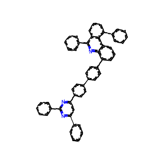 c1ccc(-c2cc(-c3ccc(-c4ccc(-c5cccc6c5nc(-c5ccccc5)c5cccc(-c7ccccc7)c56)cc4)cc3)nc(-c3ccccc3)n2)cc1